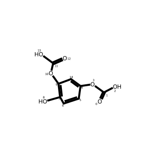 O=C(O)Oc1ccc(O)c(OC(=O)O)c1